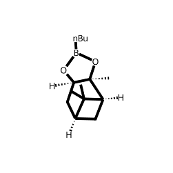 CCCCB1O[C@@H]2C[C@@H]3C[C@@H](C3(C)C)[C@]2(C)O1